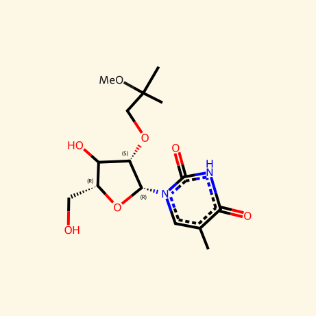 COC(C)(C)CO[C@H]1C(O)[C@@H](CO)O[C@H]1n1cc(C)c(=O)[nH]c1=O